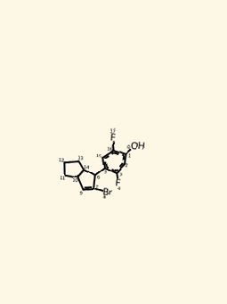 Oc1cc(F)c(C2C(Br)=CC3CCCC32)cc1F